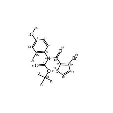 COc1ccc(N(C(=O)OC(C)(C)C)C(=O)c2sccc2Br)c(C)c1